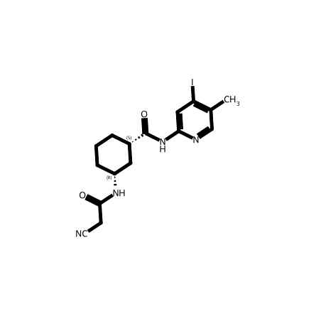 Cc1cnc(NC(=O)[C@H]2CCC[C@@H](NC(=O)CC#N)C2)cc1I